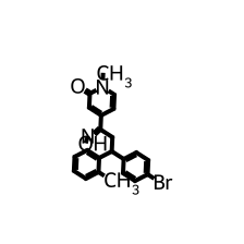 Cc1ccccc1C(C/C(=N\O)c1ccn(C)c(=O)c1)c1ccc(Br)cc1